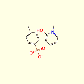 C[n+]1ccccc1O.Cc1ccc(S(=O)(=O)[O-])cc1